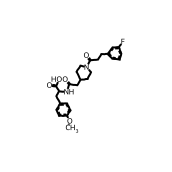 COc1ccc(CC(NC(=O)CC2CCN(C(=O)CCc3cccc(F)c3)CC2)C(=O)O)cc1